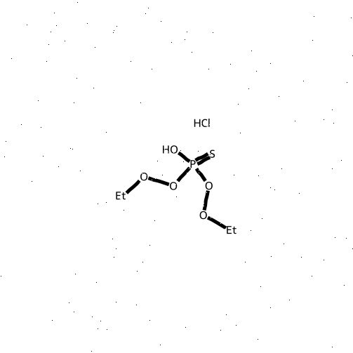 CCOOP(O)(=S)OOCC.Cl